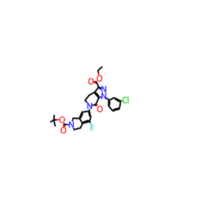 CCOC(=O)c1nn(-c2cccc(Cl)c2)c2c1CCN(c1cc(F)c3c(c1)CN(C(=O)OC(C)(C)C)CC3)C2=O